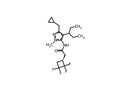 CCC(CC)c1c(CC2CC2)nn(C)c1NC(=O)C[C@@H]1CC(F)(F)C1(F)F